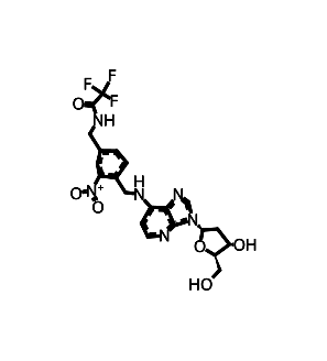 O=C(NCc1ccc(CNc2ccnc3c2ncn3[C@H]2C[C@@H](O)[C@@H](CO)O2)c([N+](=O)[O-])c1)C(F)(F)F